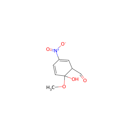 COC1(O)C=CC([N+](=O)[O-])=CC1C=O